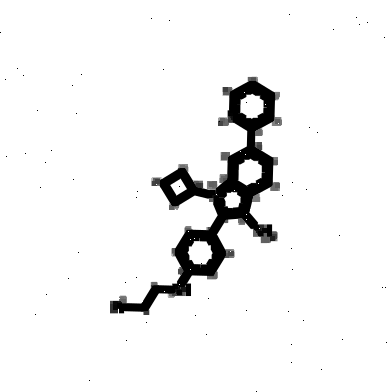 CC(C)CCNc1ccc(-c2c(N)c3ccc(-c4ccccn4)cc3n2C2CCC2)cc1